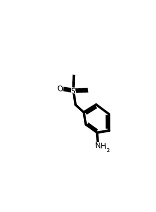 C=S(C)(=O)Cc1cccc(N)c1